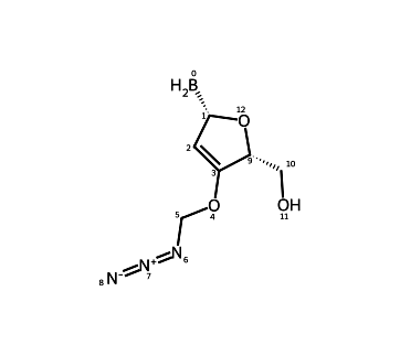 B[C@H]1C=C(OCN=[N+]=[N-])[C@@H](CO)O1